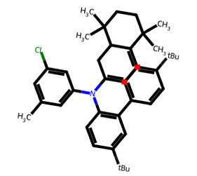 Cc1cc(Cl)cc(N(C2=CC=C3C(C2)C(C)(C)CCC3(C)C)c2ccc(C(C)(C)C)cc2-c2ccc(C(C)(C)C)cc2)c1